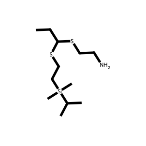 CCC(SCCN)SCC[Si](C)(C)C(C)C